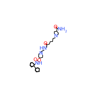 NC(=O)C1CCN(CCCCCC(=O)CNCCN2CCC(OC(=O)Nc3ccccc3-c3ccccc3)CC2)CC1